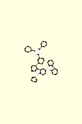 Cc1ccc(-c2nc(-c3ccccc3)nc(-c3ccccc3)n2)cc1-c1cccc2c1c1cc(-n3c4ccccc4c4ccccc43)ccc1n2-c1ccccc1